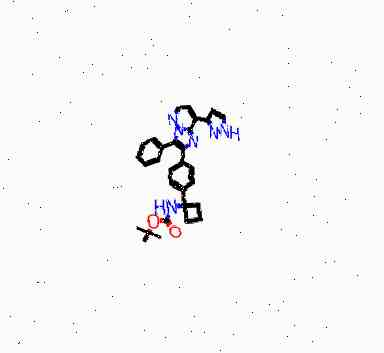 CC(C)(C)OC(=O)NC1(c2ccc(-c3nc4c(-c5cc[nH]n5)ccnn4c3-c3ccccc3)cc2)CCC1